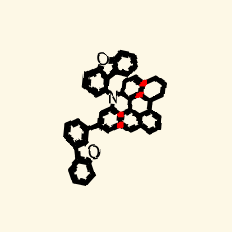 C1=CCC(N(c2cccc(-c3cccc4c3oc3ccccc34)c2)c2cccc3oc4ccccc4c23)C(c2cccc3cccc(C4CCCCC4)c23)=C1